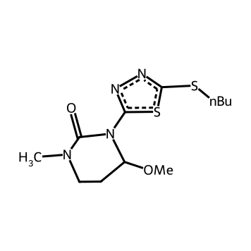 CCCCSc1nnc(N2C(=O)N(C)CCC2OC)s1